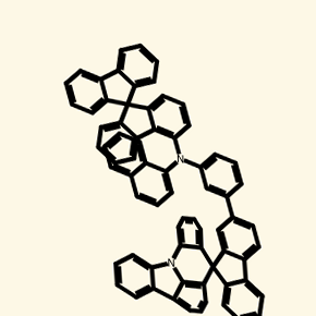 c1cc(-c2ccc3c(c2)C2(c4ccccc4-3)c3ccccc3-n3c4ccccc4c4cccc2c43)cc(N(c2cccc3c2-c2ccccc2C32c3ccccc3-c3ccccc32)c2cccc3ccccc23)c1